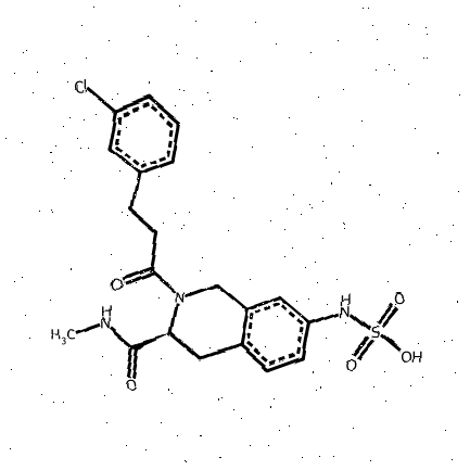 CNC(=O)[C@@H]1Cc2ccc(NS(=O)(=O)O)cc2CN1C(=O)CCc1cccc(Cl)c1